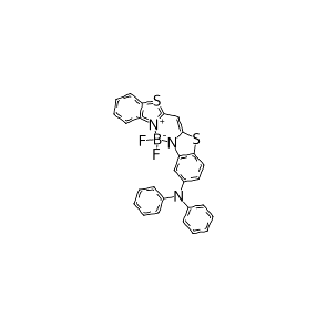 F[B-]1(F)N2C(=Cc3sc4ccccc4[n+]31)Sc1ccc(N(c3ccccc3)c3ccccc3)cc12